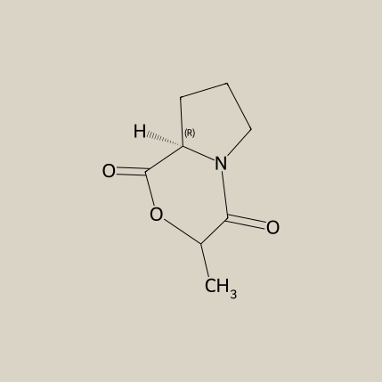 CC1OC(=O)[C@H]2CCCN2C1=O